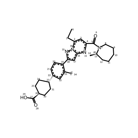 CCc1cc(C(=O)N2CCCCC[C@H]2C)nc2cc(-c3ccc([C@H]4CC[C@H](C(=O)O)CC4)cc3F)nn12